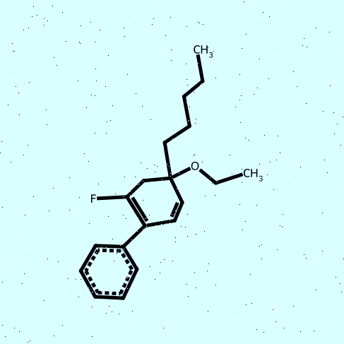 CCCCCC1(OCC)C=CC(c2ccccc2)=C(F)C1